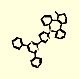 CC1CC=CC2=C1C1C=CC=CC1N(c1ccc(-c3nc(-c4ccccc4)cc(-c4ccccc4)n3)cn1)c1ccccc12